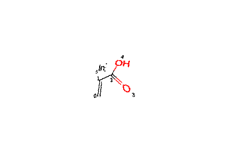 C=CC(=O)O.[In]